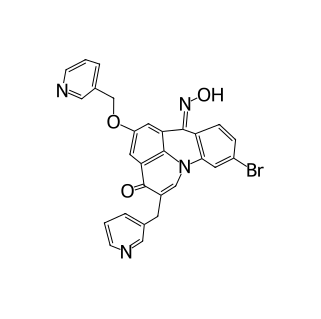 O=c1c(Cc2cccnc2)cn2c3cc(Br)ccc3/c(=N\O)c3cc(OCc4cccnc4)cc1c32